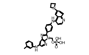 Cc1cccc(Nc2cnc3c(c2)nc(-c2ccc(Nc4ccnc5ccc(N6CCC6)cc45)cc2)n3COP(=O)(O)O)c1